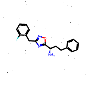 N[C@H](CCc1ccccc1)c1nc(Cc2ccccc2F)no1